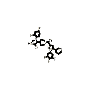 O=C1NCN(c2ccc(F)cc2F)C1C1CCN(C(=O)c2cc(-c3cccnc3)n(-c3cc(F)c(F)c(F)c3)n2)CC1